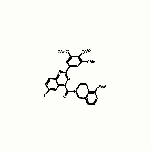 COc1cccc2c1CCN(C(=O)c1nc(-c3cc(OC)c(OC)c(OC)c3)nc3ccc(F)cc13)C2